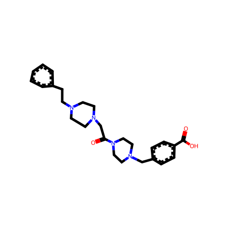 O=C(O)c1ccc(CN2CCN(C(=O)CN3CCN(CCc4ccccc4)CC3)CC2)cc1